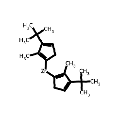 CC1=[C]([Zr][C]2=C(C)C(C(C)(C)C)=CC2)CC=C1C(C)(C)C